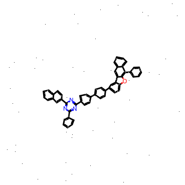 c1ccc(-c2nc(-c3ccc(-c4ccc(-c5ccc6oc7c(-c8ccccc8)c8ccccc8cc7c6c5)cc4)cc3)nc(-c3ccc4ccccc4c3)n2)cc1